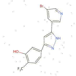 Oc1cc(-c2cc(-c3cncc(Br)c3)[nH]n2)ccc1C(F)(F)F